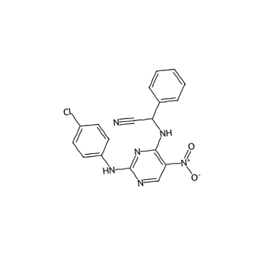 N#CC(Nc1nc(Nc2ccc(Cl)cc2)ncc1[N+](=O)[O-])c1ccccc1